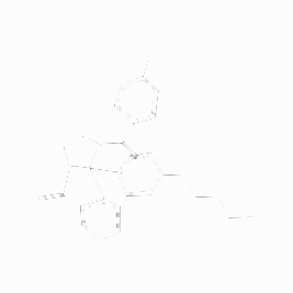 O=C(c1ccc(F)cc1)N1CCN2C(=O)c3ccccc3C12c1ccc(OCCCCl)cc1